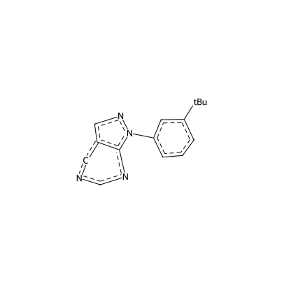 CC(C)(C)c1cccc(-n2ncc3cncnc32)c1